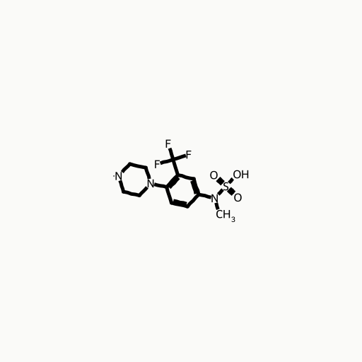 CN(c1ccc(N2CC[N]CC2)c(C(F)(F)F)c1)S(=O)(=O)O